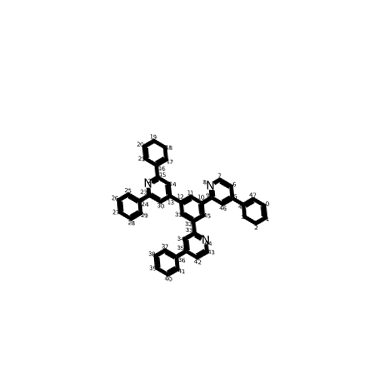 C1=CCCC(c2ccnc(-c3cc(-c4cc(C5=CCCC=C5)nc(-c5ccccc5)c4)cc(-c4cc(-c5ccccc5)ccn4)c3)c2)=C1